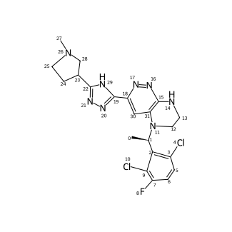 C[C@H](c1c(Cl)ccc(F)c1Cl)N1CCNc2nnc(-c3nnc(C4CCN(C)C4)[nH]3)cc21